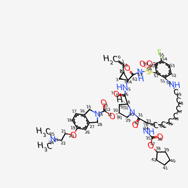 C=C[C@@H]1C[C@@]12NC(=O)[C@@H]1C[C@@H](OC(=O)N3Cc4ccc(OCCN(C)C)cc4C3)CN1C(=O)[C@@H](NC(=O)OC1CCCC1)CCCCCCCNc1ccc(F)cc1S(=O)(=O)NC2=O